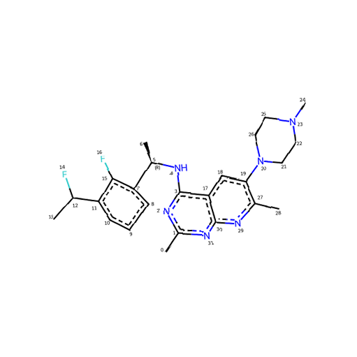 Cc1nc(N[C@H](C)c2cccc(C(C)F)c2F)c2cc(N3CCN(C)CC3)c(C)nc2n1